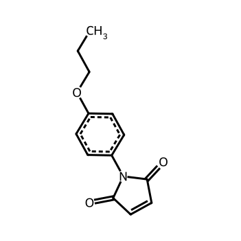 CCCOc1ccc(N2C(=O)C=CC2=O)cc1